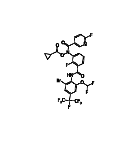 O=C(Nc1c(Br)cc(C(F)(C(F)(F)F)C(F)(F)F)cc1OC(F)F)c1cccc(N(OC(=O)C2CC2)C(=O)c2ccc(F)nc2)c1F